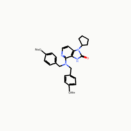 COc1ccc(CN(Cc2ccc(OC)cc2)c2nccc3c2[nH]c(=O)n3C2CCCC2)cc1